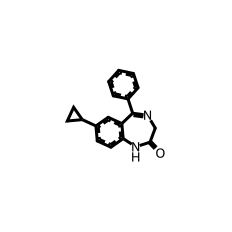 O=C1CN=C(c2ccccc2)c2cc(C3CC3)ccc2N1